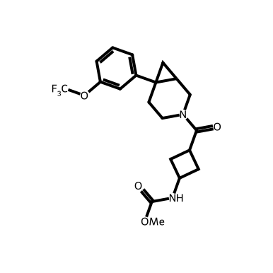 COC(=O)NC1CC(C(=O)N2CCC3(c4cccc(OC(F)(F)F)c4)CC3C2)C1